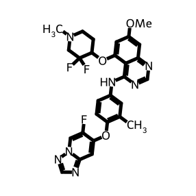 COc1cc(OC2CCN(C)CC2(F)F)c2c(Nc3ccc(Oc4cc5ncnn5cc4F)c(C)c3)ncnc2c1